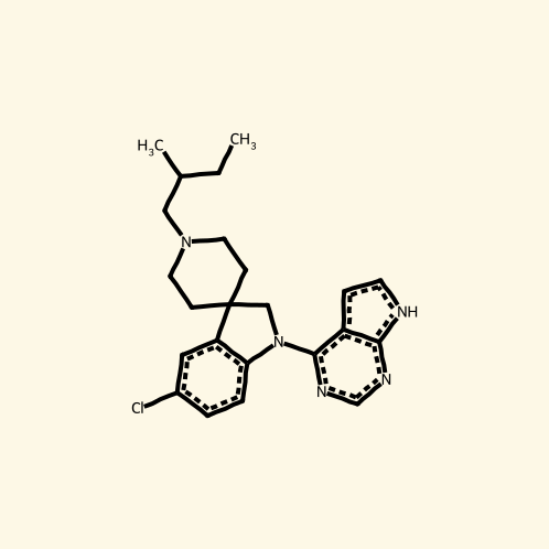 CCC(C)CN1CCC2(CC1)CN(c1ncnc3[nH]ccc13)c1ccc(Cl)cc12